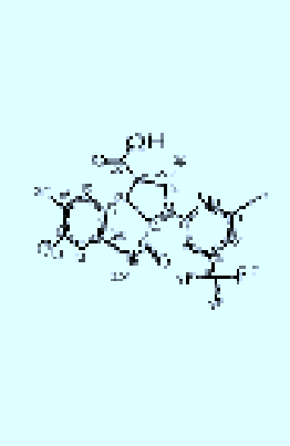 Cc1cc(C(F)(F)F)cc(N2C(C(=O)N(C)c3ccc(F)c(Cl)c3)CC(C(=O)O)[C@@H]2C)n1